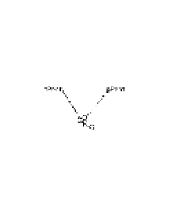 CCCCCC=CCC=CCCCCCCCCCCO[C@@H]1CN(Cc2ccccc2)C[C@H]1OCCCCCCCCCCC=CCC=CCCCCC